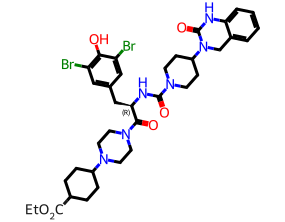 CCOC(=O)C1CCC(N2CCN(C(=O)[C@@H](Cc3cc(Br)c(O)c(Br)c3)NC(=O)N3CCC(N4Cc5ccccc5NC4=O)CC3)CC2)CC1